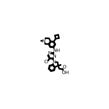 CN1CCc2c(cc(Nc3ncc(Cl)c(N4CC(C)(CC(=O)O)c5ccccc54)n3)cc2C2CCC2)C1